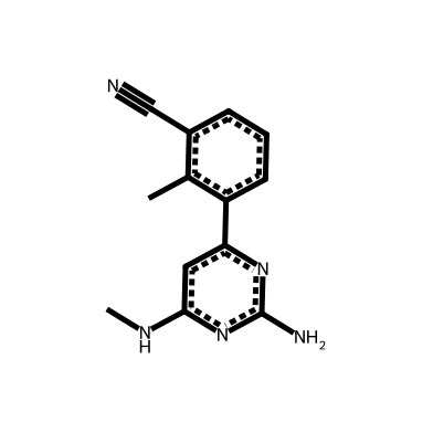 CNc1cc(-c2cccc(C#N)c2C)nc(N)n1